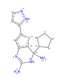 NC1=Nc2cc(-c3ccn[nH]3)sc2C(N)(C2CCCC2)N1